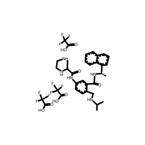 CC(C)NCc1ccc(NC(=O)C2CNCCN2)cc1C(=O)N[C@H](C)c1cccc2ccccc12.O=C(O)C(F)(F)F.O=C(O)C(F)(F)F.O=C(O)C(F)(F)F